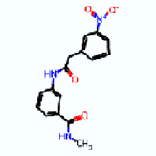 CNC(=O)c1cccc(NC(=O)Cc2cccc([N+](=O)[O-])c2)c1